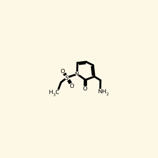 CCS(=O)(=O)n1cccc(CN)c1=O